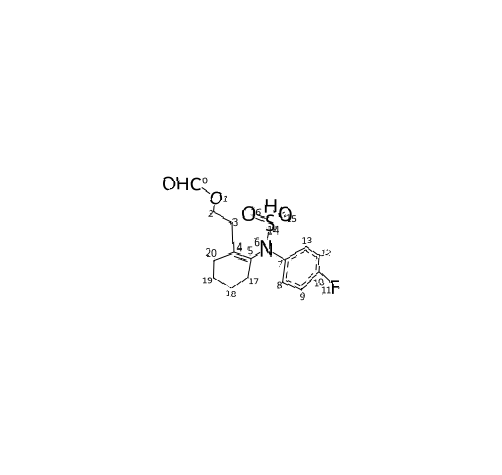 O=COCCC1=C(N(c2ccc(F)cc2)[SH](=O)=O)CCCC1